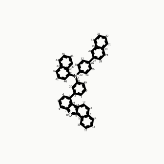 c1cc(-c2cccc3oc4c5ccccc5ccc4c23)cc(N(c2ccc(-c3ccc4ccccc4c3)cc2)c2cccc3ccccc23)c1